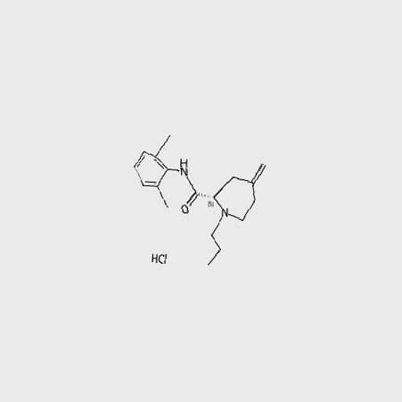 C=C1CCN(CCC)[C@H](C(=O)Nc2c(C)cccc2C)C1.Cl